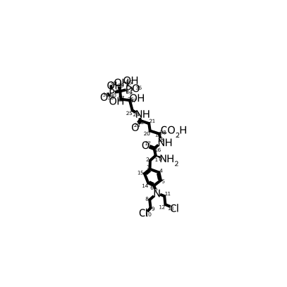 N[C@@H](Cc1ccc(N(CCCl)CCCl)cc1)C(=O)N[C@@H](CCC(=O)NCCCC(O)(P(=O)(O)O)P(=O)(O)O)C(=O)O